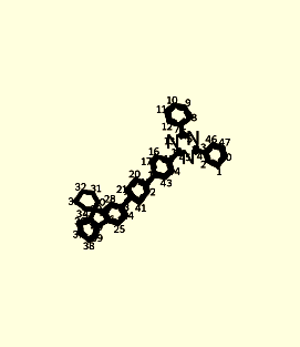 c1ccc(-c2nc(-c3ccccc3)nc(-c3ccc(-c4ccc(-c5ccc6c(c5)C5(CCCCC5)c5ccccc5-6)cc4)cc3)n2)cc1